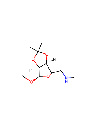 CNCC1O[C@@H](OC)[C@H]2OC(C)(C)O[C@@H]12